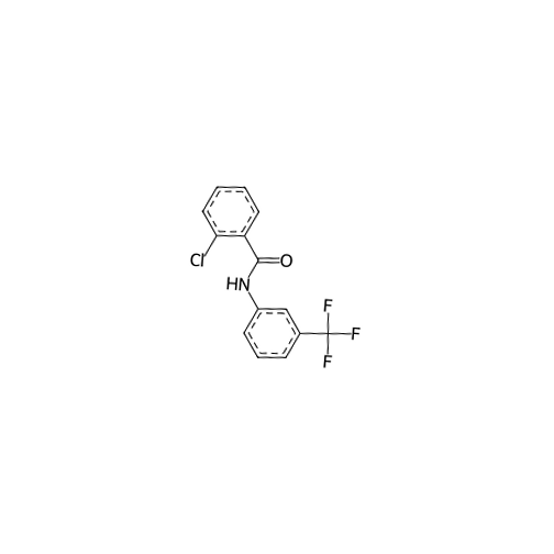 O=C(Nc1cccc(C(F)(F)F)c1)c1ccccc1Cl